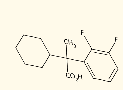 CC(C(=O)O)(c1cccc(F)c1F)C1CCCCC1